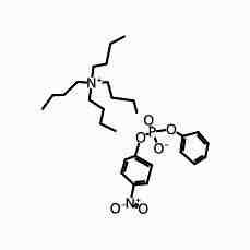 CCCC[N+](CCCC)(CCCC)CCCC.O=[N+]([O-])c1ccc(OP(=O)([O-])Oc2ccccc2)cc1